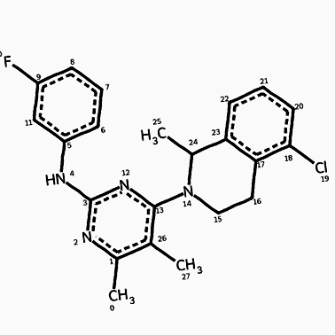 Cc1nc(Nc2cccc(F)c2)nc(N2CCc3c(Cl)cccc3C2C)c1C